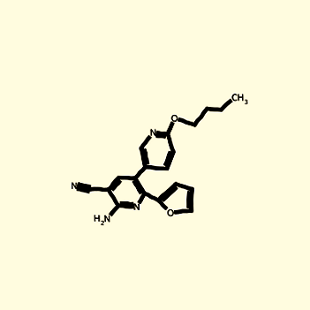 CCCCOc1ccc(-c2cc(C#N)c(N)nc2-c2ccco2)cn1